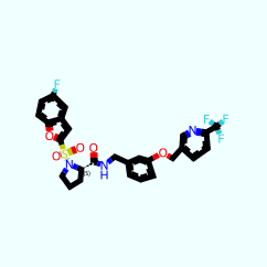 O=C(NCc1cccc(OCc2ccc(C(F)(F)F)nc2)c1)[C@@H]1CCCN1S(=O)(=O)c1cc2cc(F)ccc2o1